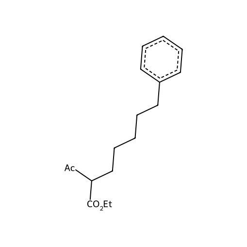 CCOC(=O)C(CCCCCc1ccccc1)C(C)=O